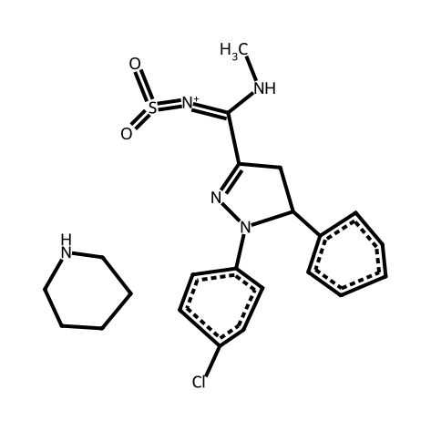 C1CCNCC1.CNC(=[N+]=S(=O)=O)C1=NN(c2ccc(Cl)cc2)C(c2ccccc2)C1